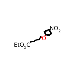 CCOC(=O)CCCCCOc1ccc([N+](=O)[O-])cc1